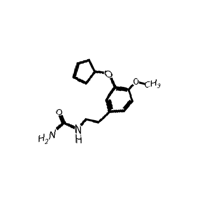 COc1ccc(CCNC(N)=O)cc1OC1CCCC1